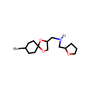 CCN(CC1CCCO1)CC1COC2(CCC(C(C)(C)C)CC2)O1